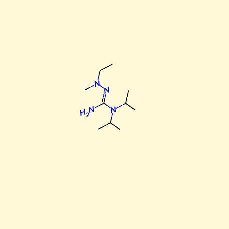 CCN(C)N=C(N)N(C(C)C)C(C)C